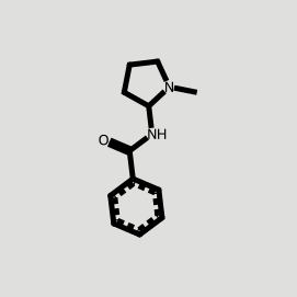 CN1CCCC1NC(=O)c1ccccc1